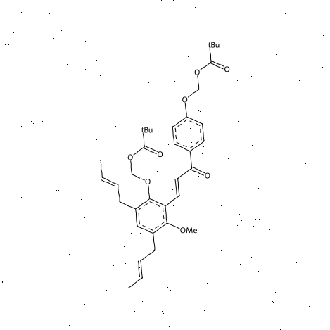 C/C=C/Cc1cc(C/C=C/C)c(OCOC(=O)C(C)(C)C)c(/C=C/C(=O)c2ccc(OCOC(=O)C(C)(C)C)cc2)c1OC